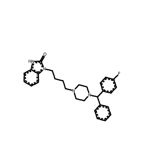 O=c1[nH]c2ccccc2n1CCCCN1CCN(C(c2ccccc2)c2ccc(F)cc2)CC1